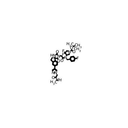 CNC(=O)Cn1cc(-c2ccc3c(c2)CC[C@]32NC(=O)N(CC(=O)N(Cc3ccc(F)cc3)C3CN(C(=O)OC(C)(C)C)CC3(F)F)C2=O)cn1